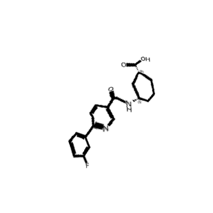 O=C(N[C@H]1CCC[C@@H](C(=O)O)C1)c1ccc(-c2cccc(F)c2)nc1